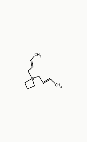 C/C=C/C[Si]1(C/C=C/C)CCC1